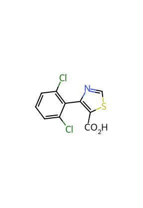 O=C(O)c1scnc1-c1c(Cl)cccc1Cl